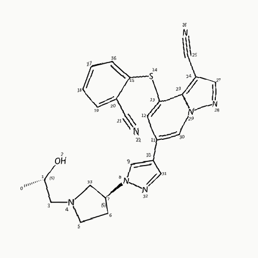 C[C@H](O)CN1CC[C@H](n2cc(-c3cc(Sc4ccccc4C#N)c4c(C#N)cnn4c3)cn2)C1